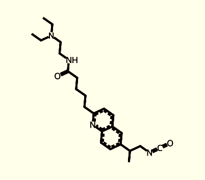 CCN(CC)CCNC(=O)CCCCc1ccc2cc(C(C)CN=C=O)ccc2n1